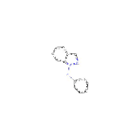 c1ccc(Nn2ncc3ccccc32)cc1